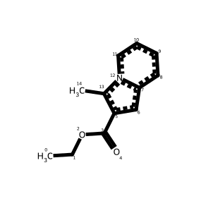 CCOC(=O)c1cc2ccccn2c1C